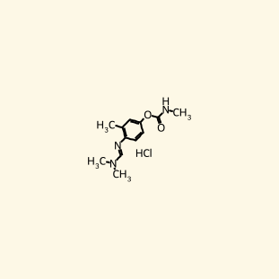 CNC(=O)Oc1ccc(N=CN(C)C)c(C)c1.Cl